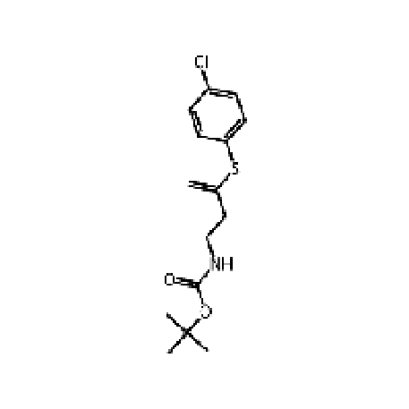 C=C(CCNC(=O)OC(C)(C)C)Sc1ccc(Cl)cc1